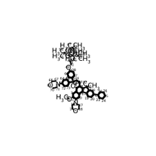 COc1cc2c3c(c4c(c2cc1N1CCOCC1)-c1ccc(-c2ccccc2)cc1C4(C)C)C=CC(c1ccc(OCCO[Si](OC(C)(C)C)(OC(C)(C)C)OC(C)(C)C)cc1)(c1ccc(N2CCOCC2)cc1)O3